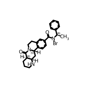 C[C@H](c1ccccc1)N(Br)C(=O)c1ccc2c(c1)CCN1C(=O)[C@@H]3CCCN[C@@H]3C[C@@H]21